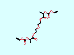 C=COC(=O)OC(C)C(=O)OCCOCCOC(=O)C(C)OC(=O)OC=C